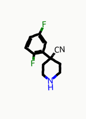 N#CC1(c2cc(F)ccc2F)CCNCC1